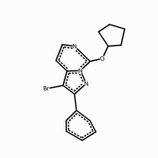 Brc1c(-c2ccccc2)nn2c(OC3CCCC3)nccc12